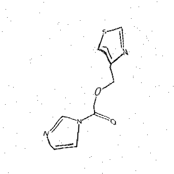 O=C(OCc1cscn1)n1ccnc1